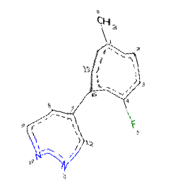 Cc1ccc(F)c(-c2ccnnc2)c1